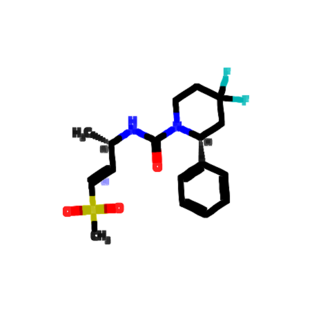 C[C@@H](/C=C/S(C)(=O)=O)NC(=O)N1CCC(F)(F)C[C@@H]1c1ccccc1